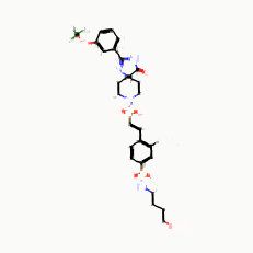 Cc1cc(S(=O)(=O)NCCCCO)ccc1C=CS(=O)(=O)N1CCC2(CC1)N=C(c1cccc(OC(F)(F)F)c1)NC2=O